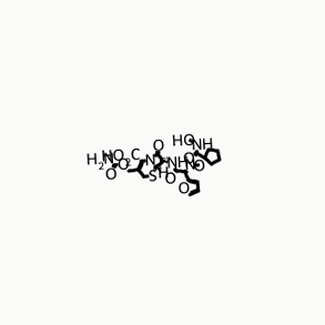 NC(=O)OCC1=C(C(=O)O)N2C(=O)[C@@H](NC(=O)C(=NOC3(C(=O)NO)CCCC3)c3ccco3)[C@H]2SC1